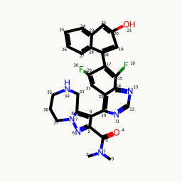 CN(C)C(=O)c1nn2c(c1-c1ncnc3c(F)c(-c4cc(O)cc5ccccc45)c(F)cc13)CNCCC2